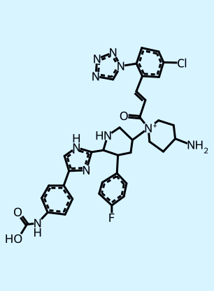 NC1CC[N+](C(=O)/C=C/c2cc(Cl)ccc2-n2cnnn2)(C2CNC(c3nc(-c4ccc(NC(=O)O)cc4)c[nH]3)C(c3ccc(F)cc3)C2)CC1